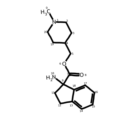 CN1CCC(COC(=O)C2(N)CCc3ccccc32)CC1